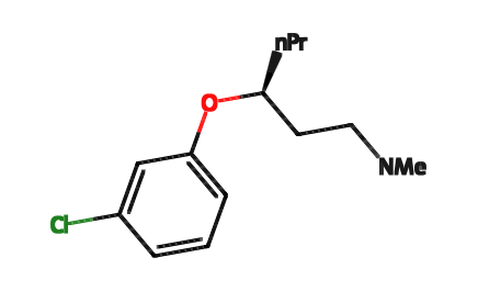 CCC[C@@H](CCNC)Oc1cccc(Cl)c1